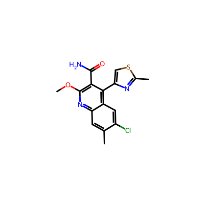 COc1nc2cc(C)c(Cl)cc2c(-c2csc(C)n2)c1C(N)=O